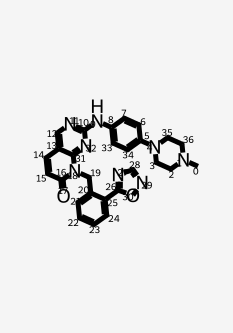 CN1CCN(c2ccc(Nc3ncc4ccc(=O)n(Cc5ccccc5-c5ncno5)c4n3)cc2)CC1